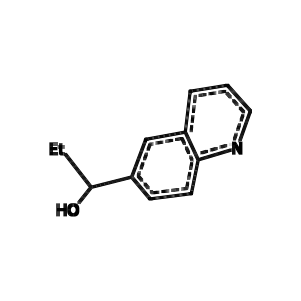 CCC(O)c1ccc2ncccc2c1